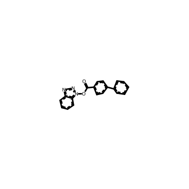 O=C(On1nnc2ccccc21)c1ccc(-c2ccccc2)cc1